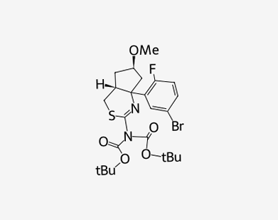 CO[C@@H]1C[C@H]2CSC(N(C(=O)OC(C)(C)C)C(=O)OC(C)(C)C)=NC2(c2cc(Br)ccc2F)C1